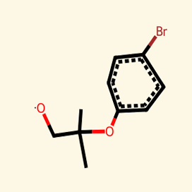 CC(C)(C[O])Oc1ccc(Br)cc1